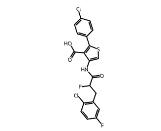 O=C(O)c1c(NC(=O)C(F)Cc2cc(F)ccc2Cl)csc1-c1ccc(Cl)cc1